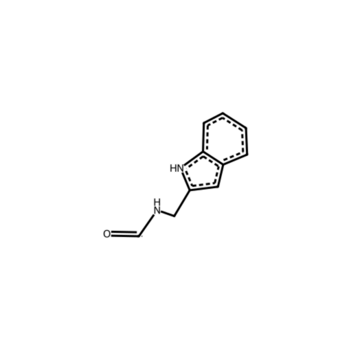 O=[C]NCc1cc2ccccc2[nH]1